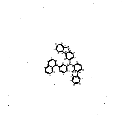 c1cc(-c2cccc3ccccc23)cc(N(c2ccc3sc4ccccc4c3c2)c2cccc3c2sc2ccccc23)c1